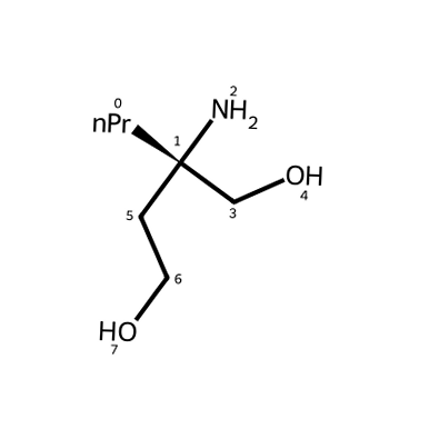 CCC[C@@](N)(CO)CCO